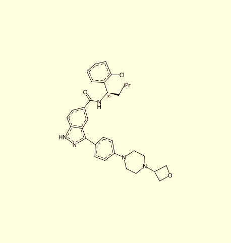 CC(C)C[C@@H](NC(=O)c1ccc2[nH]nc(-c3ccc(N4CCN(C5COC5)CC4)cc3)c2c1)c1ccccc1Cl